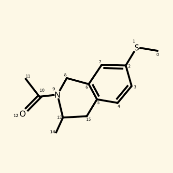 CSc1ccc2c(c1)CN(C(C)=O)C(C)C2